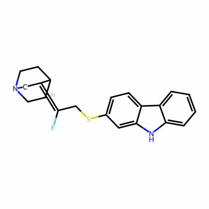 F/C(CSc1ccc2c(c1)[nH]c1ccccc12)=C1\CN2CCC1CC2